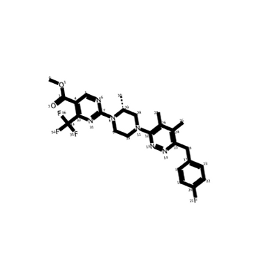 COC(=O)c1cnc(N2CCN(c3nnc(Cc4ccc(F)cc4)c(C)c3C)C[C@H]2C)nc1C(F)(F)F